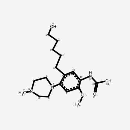 COc1cc(N2CCN(C)CC2)c(CCCCCO)cc1NC(=O)O